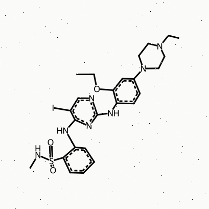 CCOc1cc(N2CCN(CC)CC2)ccc1Nc1ncc(I)c(Nc2ccccc2S(=O)(=O)NC)n1